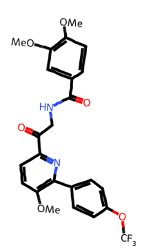 COc1ccc(C(=O)NCC(=O)c2ccc(OC)c(-c3ccc(OC(F)(F)F)cc3)n2)cc1OC